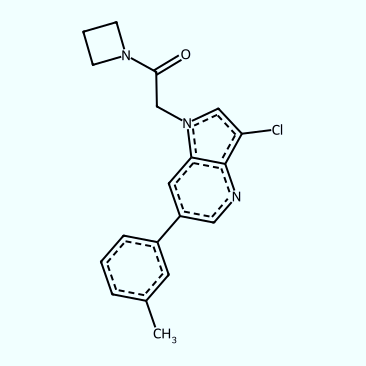 Cc1cccc(-c2cnc3c(Cl)cn(CC(=O)N4CCC4)c3c2)c1